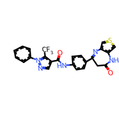 O=C1CC(c2ccc(NC(=O)c3cnn(-c4ccccc4)c3C(F)(F)F)cc2)=Nc2cscc2N1